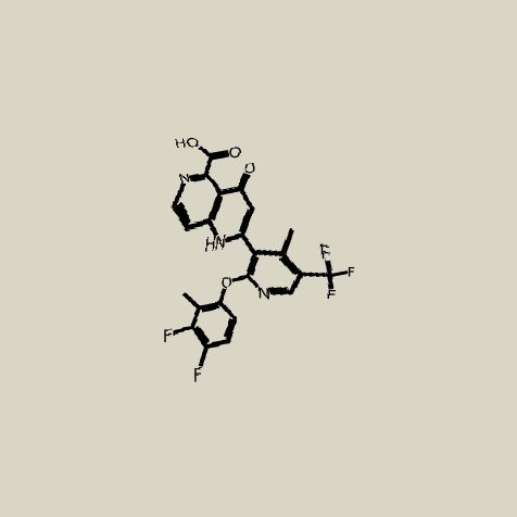 Cc1c(Oc2ncc(C(F)(F)F)c(C)c2-c2cc(=O)c3c(C(=O)O)nccc3[nH]2)ccc(F)c1F